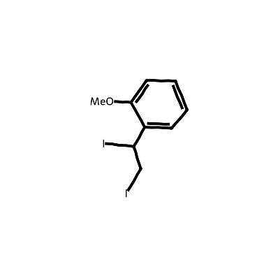 COc1ccccc1C(I)CI